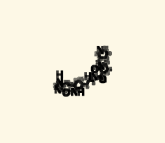 O=C1Nc2cc(/C=C/CNC(=O)c3cccn(Cc4cccnc4)c3=O)ccc2/C1=C/c1cnc[nH]1